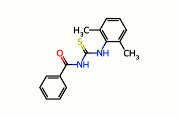 Cc1cccc(C)c1NC(=S)NC(=O)c1ccccc1